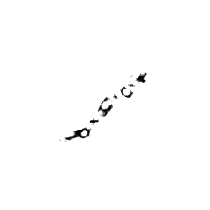 CC(C)(C)OC(=O)N1CCC(OC(=O)N2CC3CC(CN(CC(C)(O)Oc4ccc(C#N)cc4)C3)C2)CC1